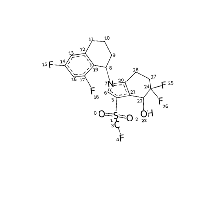 O=S(=O)(CF)c1cn(C2CCCc3cc(F)cc(F)c32)c2c1C(O)C(F)(F)CC2